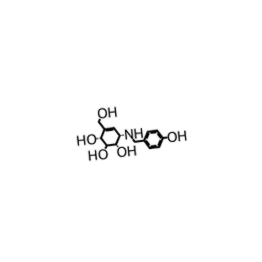 OCC1=C[C@H](NCc2ccc(O)cc2)[C@H](O)C(O)[C@@H]1O